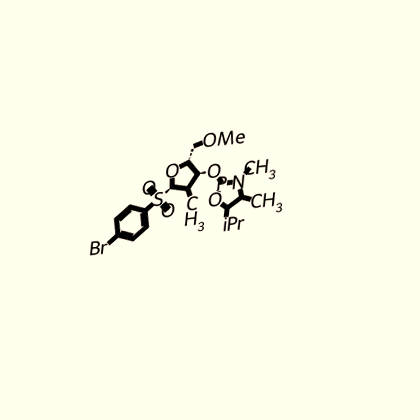 COC[C@H]1O[C@@H](S(=O)(=O)c2ccc(Br)cc2)C(C)[C@H]1OP1OC(C(C)C)C(C)N1C